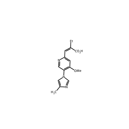 CCC(=Cc1cc(OC)c(-n2cnc(C)c2)cn1)C(=O)O